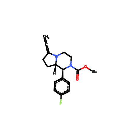 C=C=C1CC[C@H]2[C@H](c3ccc(F)cc3)N(C(=O)OC(C)(C)C)CCN12